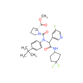 COC(=O)[C@H]1CCCN1C(=O)N(c1ccc(C(C)(C)C)cc1)C(C(=O)NC1CCC(F)(F)CC1)c1cncc(F)c1